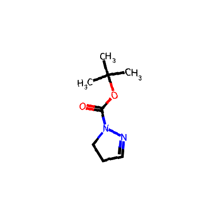 CC(C)(C)OC(=O)N1CCC=N1